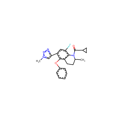 CC1CCc2c(Oc3ccccc3)c(-c3cn(C)nn3)cc(F)c2N1C(=O)C1CC1